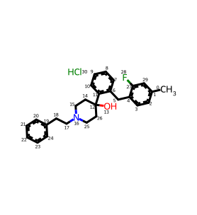 Cc1ccc(Cc2ccccc2C2(O)CCN(CCc3ccccc3)CC2)c(F)c1.Cl